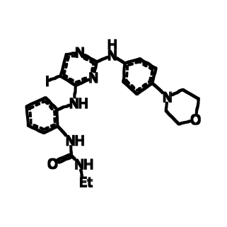 CCNC(=O)Nc1ccccc1Nc1nc(Nc2ccc(N3CCOCC3)cc2)ncc1I